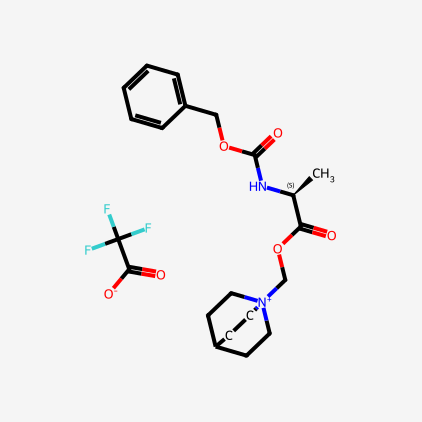 C[C@H](NC(=O)OCc1ccccc1)C(=O)OC[N+]12CCC(CC1)CC2.O=C([O-])C(F)(F)F